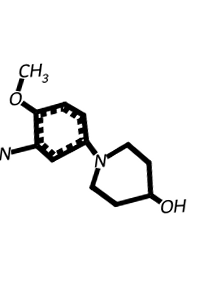 COc1ccc(N2CCC(O)CC2)cc1N